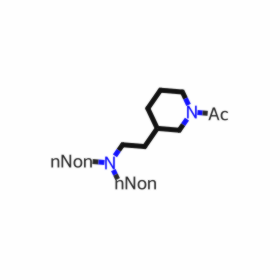 CCCCCCCCCN(CCCCCCCCC)CCC1CCCN(C(C)=O)C1